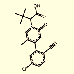 Cc1cn(C(C(=O)O)C(C)(C)C)c(=O)cc1-c1cc(Cl)ccc1C#N